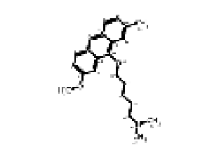 COc1ccc2cc3ccc(C)cc3c(OCCCCCN(C)C)c2c1